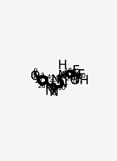 COc1ccc(-n2nnc3cnc(N[C@@H]4CC[C@](O)(C(F)(F)F)C4)nc32)cc1